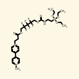 CCO[Si](CCNC(=O)OCC(F)(F)C(F)(F)C(F)(F)COC(=O)CC[n+]1ccc(-c2cc[n+](C)cc2)cc1)(OCC)OCC